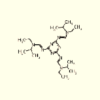 CCN(C=Nc1nc(N=CN(CC)C(C)C)nc(N=CN(CC)C(C)C)n1)C(C)C